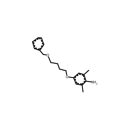 Cc1cc(OCCCCOCc2ccccc2)cc(C)c1N